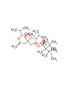 C=C(CC(CC)(CCOC(=O)C(C)(C(C)(C)C)C(C)(C)CC)OC(OC)C(C)C)OC(OC)C(C)C